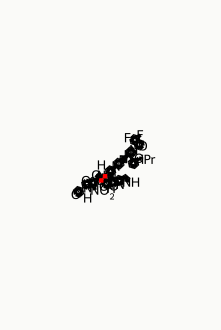 CC(C)Oc1ccccc1[C@@H]1CN([C@H]2COCc3c(F)cc(F)cc32)CCN1C1CC2(CCN(c3ccc(C(=O)NS(=O)(=O)c4cc5c(c([N+](=O)[O-])c4)N[C@H](C4CCOCC4)CO5)c(N4c5cc6cc[nH]c6nc5O[C@H]5COCC[C@@H]54)c3)CC2)C1